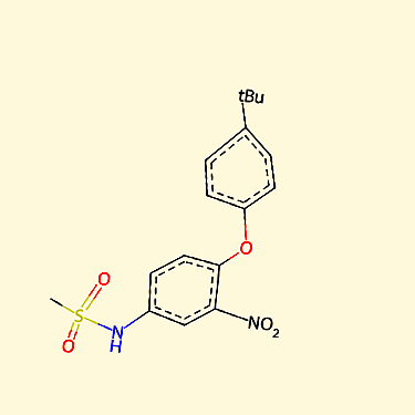 CC(C)(C)c1ccc(Oc2ccc(NS(C)(=O)=O)cc2[N+](=O)[O-])cc1